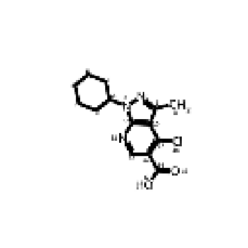 Cc1nn(C2CCCCC2)c2ncc(C(=O)O)c(Cl)c12